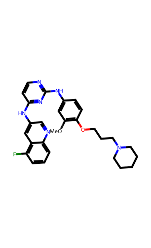 COc1cc(Nc2nccc(Nc3cnc4cccc(F)c4c3)n2)ccc1OCCCN1CCCCC1